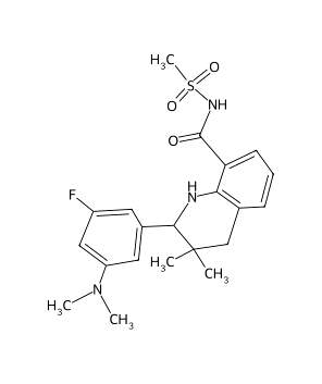 CN(C)c1cc(F)cc(C2Nc3c(cccc3C(=O)NS(C)(=O)=O)CC2(C)C)c1